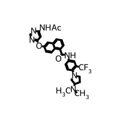 CC(=O)Nc1cc(Oc2ccc3c(C(=O)Nc4ccc(N5CCC(N(C)C)C5)c(C(F)(F)F)c4)cccc3c2)ncn1